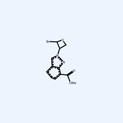 COC(=O)c1cccc2cn(C3COC3Br)nc12